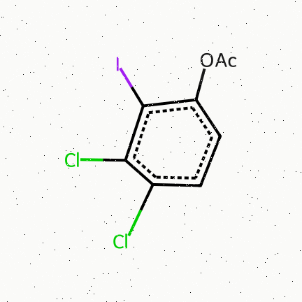 CC(=O)Oc1ccc(Cl)c(Cl)c1I